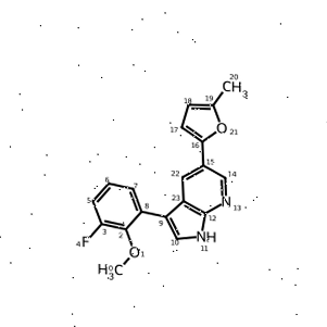 COc1c(F)cccc1-c1c[nH]c2ncc(-c3ccc(C)o3)cc12